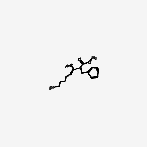 CC(=O)OC(=CCCCCC(C)C)N(Cc1ccccc1)C(=O)OC(C)(C)C